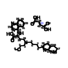 COCCN(CCCCc1ccc2c(n1)NCCC2)CC[C@H](Nc1ncnc2ccccc12)C(=O)O.O=C(O)/C=C/C(=O)O